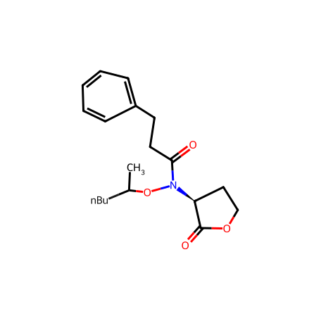 CCCCC(C)ON(C(=O)CCc1ccccc1)[C@H]1CCOC1=O